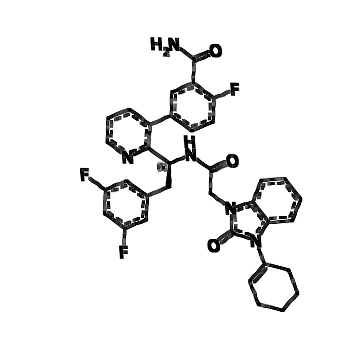 NC(=O)c1cc(-c2cccnc2[C@H](Cc2cc(F)cc(F)c2)NC(=O)Cn2c(=O)n(C3=CCCCC3)c3ccccc32)ccc1F